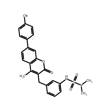 Cc1c(Cc2cccc(NS(=O)(=O)N(C)C)c2)c(=O)oc2cc(-c3ccc(C#N)cc3)ccc12